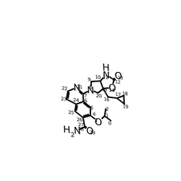 CC(C)Oc1cc2c(N3CC4NC(=O)OC4(CC4CC4)C3)nccc2cc1C(N)=O